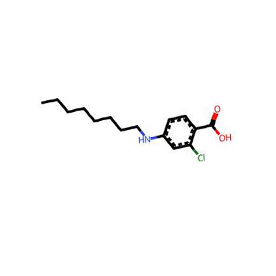 CCCCCCCCNc1ccc(C(=O)O)c(Cl)c1